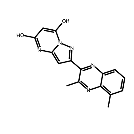 Cc1nc2c(C)cccc2nc1-c1cc2nc(O)cc(O)n2n1